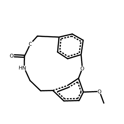 COc1ccc2cc1Oc1ccc(cc1)CCC(=O)NCC2